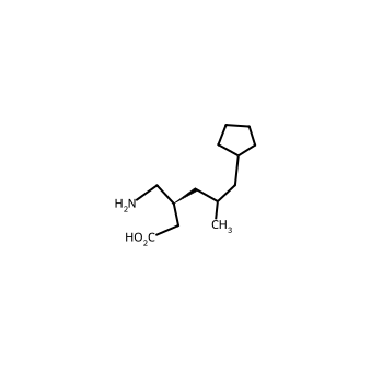 CC(CC1CCCC1)C[C@H](CN)CC(=O)O